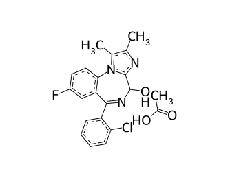 CC(=O)O.Cc1nc2n(c1C)-c1ccc(F)cc1C(c1ccccc1Cl)=NC2O